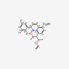 C=COC(C)CC(C)ON1c2cccc(CC(C)C)c2C=CC1c1cc(C)cc(C)c1C